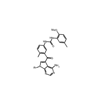 COc1ccc(C)cc1NC(=O)Nc1ccc(C)c(C(=O)c2cn(C(C)C)c3ncnc(N)c23)c1